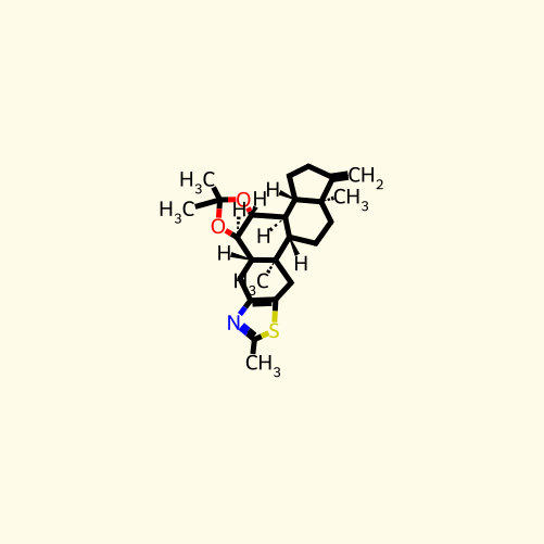 C=C1CC[C@H]2[C@@H]3[C@H]4OC(C)(C)O[C@@H]4[C@H]4Cc5nc(C)sc5C[C@]4(C)[C@H]3CC[C@]12C